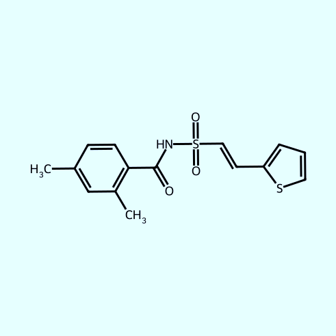 Cc1ccc(C(=O)NS(=O)(=O)C=Cc2cccs2)c(C)c1